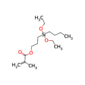 C=C(C)C(=O)OCCC[Si](CCCC)(OCC)OCC